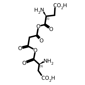 N[C@@H](CC(=O)O)C(=O)OC(=O)CC(=O)OC(=O)[C@@H](N)CC(=O)O